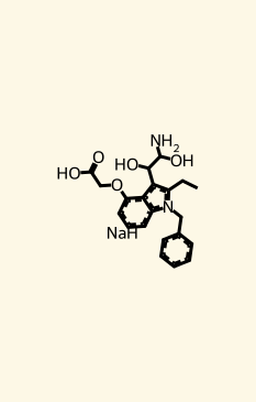 CCc1c(C(O)C(N)O)c2c(OCC(=O)O)cccc2n1Cc1ccccc1.[NaH]